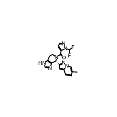 Cc1ccc2cc([C@@H]3c4nc[nH]c4CCN3C(=O)c3ccnn3C(F)F)nn2c1